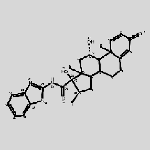 C[C@@H]1CC2C3CCC4=CC(=O)C=CC4(C)C3[C@@H](O)CC2(C)[C@@]1(O)C(=O)Nc1nc2ccccc2s1